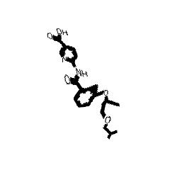 CC(C)COCC(C)Oc1cccc(C(=O)Nc2ccc(C(=O)O)cn2)c1